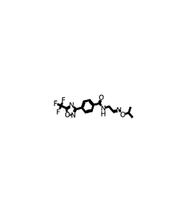 CC(C)ON=CCNC(=O)c1ccc(-c2noc(C(F)(F)F)n2)cc1